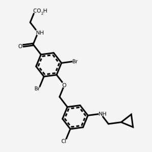 O=C(O)CNC(=O)c1cc(Br)c(OCc2cc(Cl)cc(NCC3CC3)c2)c(Br)c1